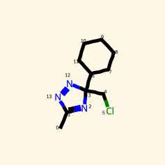 CC1=NC(CCl)(C2CCCCC2)N=N1